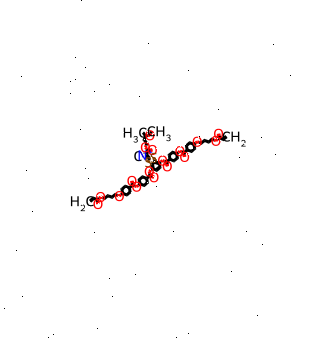 [C-]#[N+]C(C(=O)OCCC(C)OC)=C1Sc2c(OC(=O)C3CCC(OC(=O)C4CCC(OCCCCOC(=O)C=C)CC4)CC3)ccc(OC(=O)C3CCC(OC(=O)C4CCC(OCCCCOC(=O)C=C)CC4)CC3)c2S1